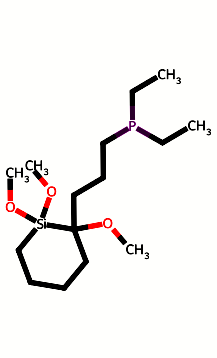 CCP(CC)CCCC1(OC)CCCC[Si]1(OC)OC